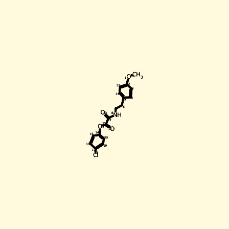 COc1ccc(CCNC(=O)C(=O)Oc2ccc(Cl)cc2)cc1